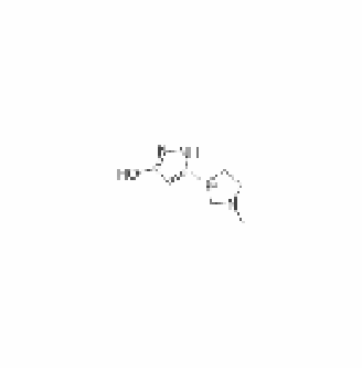 CN1CC[C@@H](c2cc(O)n[nH]2)C1